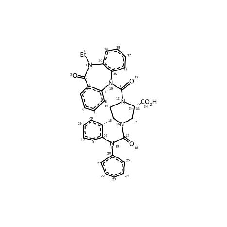 CCN1C(=O)c2ccccc2N(C(=O)N2CCN(C(=O)N(c3ccccc3)c3ccccc3)C[C@H]2C(=O)O)c2ccccc21